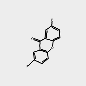 O=c1c2cc(F)ccc2oc2ccc(F)cc12